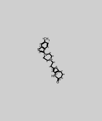 Cc1ccc2c(N3CCN(CCc4cc5c(s4)CCCC(=O)N5)CC3)csc2c1